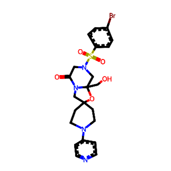 O=C1CN(S(=O)(=O)c2ccc(Br)cc2)CC2(CO)OC3(CCN(c4ccncc4)CC3)CN12